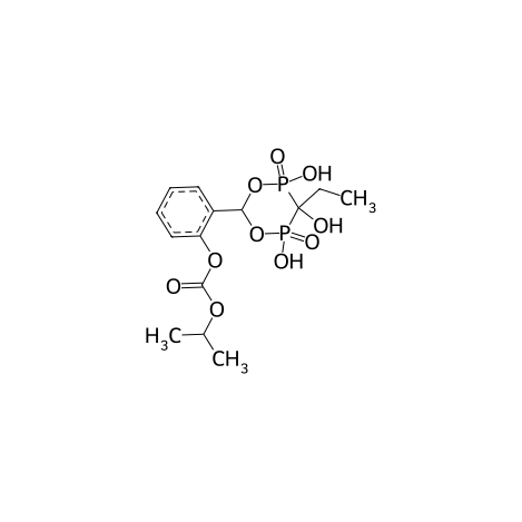 CCC1(O)P(=O)(O)OC(c2ccccc2OC(=O)OC(C)C)OP1(=O)O